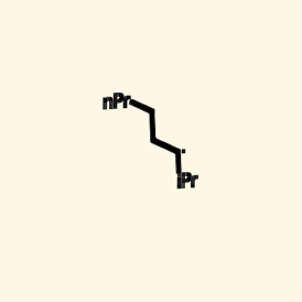 [CH2]CCCC[CH]C(C)C